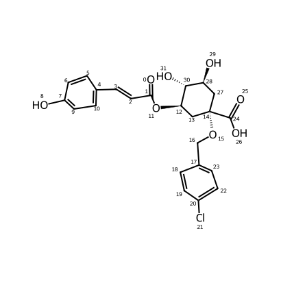 O=C(/C=C/c1ccc(O)cc1)O[C@@H]1C[C@](OCc2ccc(Cl)cc2)(C(=O)O)C[C@H](O)[C@H]1O